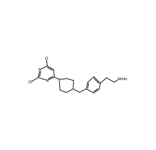 CC(=O)NCCc1ccc(CN2CCN(c3cc(Cl)nc(Cl)n3)CC2)cc1